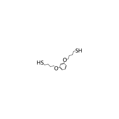 SCCCCOc1cccc(OCCCCS)c1